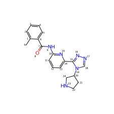 Cc1ccccc1C(=O)Nc1cccc(-c2nncn2C2CCNC2)n1